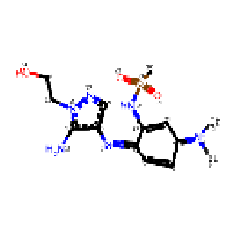 CC[N+](CC)=C1C=C/C(=N/c2cnn(CCO)c2N)C(NS(C)(=O)=O)=C1